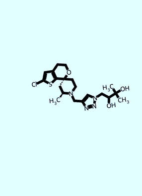 C[C@H]1C[C@@]2(CCN1Cc1cn(CC(O)C(C)(C)O)nn1)OCCc1cc(Cl)sc12